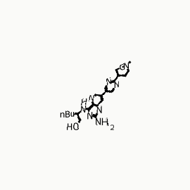 CCCCC(CO)Nc1nc(N)nc2cc(-c3cnc(C4CCN(C)CC4)nc3)cnc12